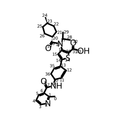 Cc1ncccc1C(=O)NC1C=CC(c2cc(N(C(=O)[C@H]3CC[C@H](C)CC3)C(C)C)c(C(=O)O)s2)=CC1